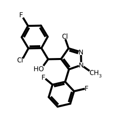 Cn1nc(Cl)c(C(O)c2ccc(F)cc2Cl)c1-c1c(F)cccc1F